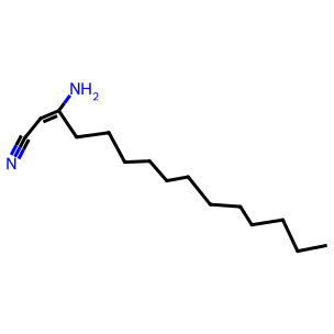 CCCCCCCCCCCC/C(N)=C\C#N